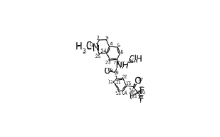 CN1CCc2ccc(NC(=O)c3cccc(C(=O)C(F)(F)F)c3)cc2C1.Cl